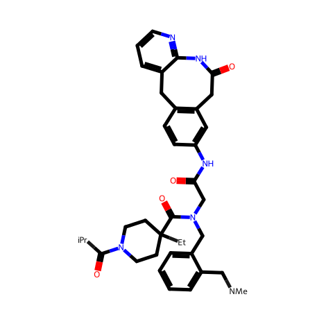 CCC1(C(=O)N(CC(=O)Nc2ccc3c(c2)CC(=O)Nc2ncccc2C3)Cc2ccccc2CNC)CCN(C(=O)C(C)C)CC1